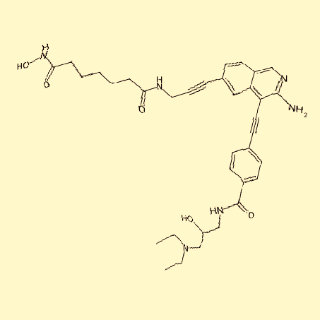 CCN(CC)CC(O)CNC(=O)c1ccc(C#Cc2c(N)ncc3ccc(C#CCNC(=O)CCCCCC(=O)NO)cc23)cc1